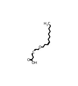 CCCCCCC/C=C\CCOCC=C=CCC(=O)O